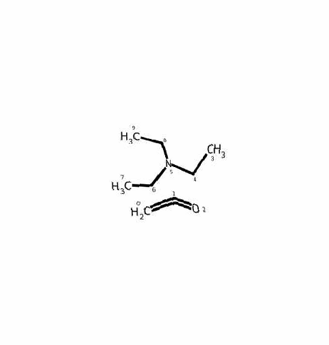 C=C=O.CCN(CC)CC